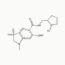 CCN1CCCC1CNC(=O)c1cc2c(cc1OC)N(C)CS2(=O)=O